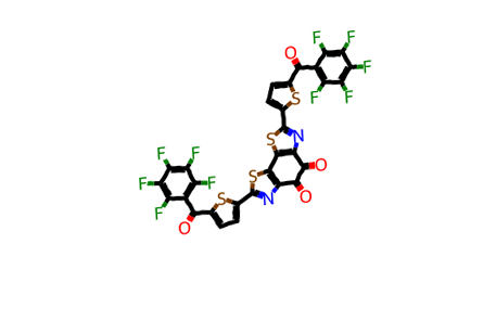 O=C1C(=O)c2nc(-c3ccc(C(=O)c4c(F)c(F)c(F)c(F)c4F)s3)sc2-c2sc(-c3ccc(C(=O)c4c(F)c(F)c(F)c(F)c4F)s3)nc21